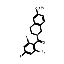 O=C(O)c1ccc2c(c1)CCN(C(=O)c1c(F)cc(F)cc1C(F)(F)F)C2